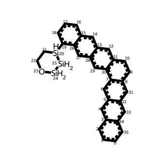 c1ccc2cc3cc4c(ccc5cc6cc7cccc([SiH]8CCO[SiH2][SiH2]8)c7cc6cc54)cc3cc2c1